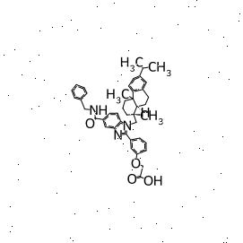 CC(C)c1ccc2c(c1)CC[C@@H]1C2(C)CCC[C@@]1(C)Cn1c(-c2cccc(OCC(=O)O)c2)nc2cc(C(=O)NCc3ccccc3)ccc21